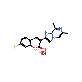 Br.Cc1cn2cc(-c3cc4ccc(F)cc4oc3=O)nc2c(C)n1